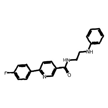 O=C(NCCNc1ccccc1)c1ccc(-c2ccc(F)cc2)nc1